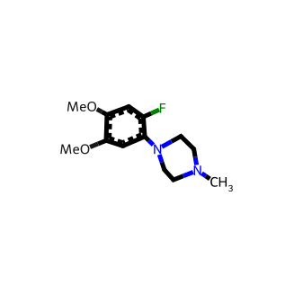 COc1cc(F)c(N2CCN(C)CC2)cc1OC